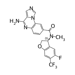 CN(C(=O)c1ccc2nc(N)c3cncn3c2c1)[C@@H]1COc2cc(C(F)(F)F)c(F)cc21